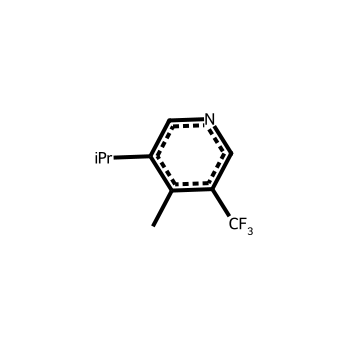 Cc1c(C(C)C)cncc1C(F)(F)F